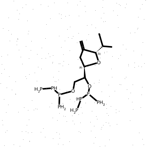 C=C1C[C@H](C(COP(P)PP)OP(P)PP)O[C@H]1C(C)C